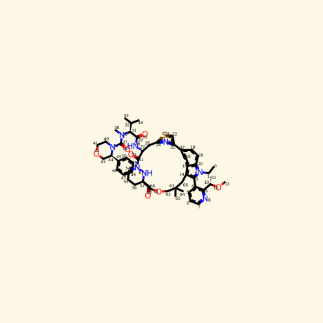 CCn1c(-c2cccnc2[C@H](C)OC)c2c3cc(ccc31)-c1csc(n1)C[C@H](NC(=O)[C@H](C(C)C)N(C)C(=O)N1CCOC[C@@H]1c1ccccc1)C(=O)N1CCCC(C=O)(COCC(C)(C)C2)N1